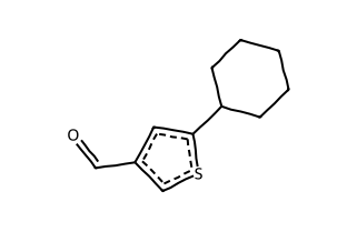 O=Cc1csc(C2CCCCC2)c1